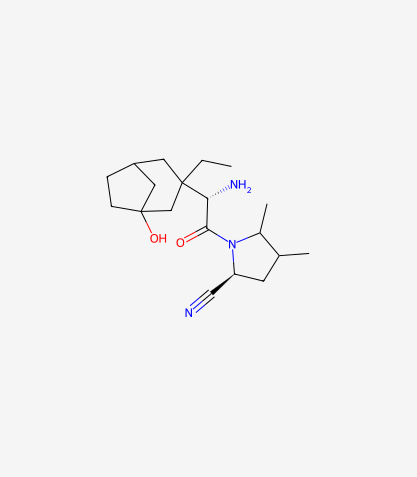 CCC1([C@H](N)C(=O)N2C(C)C(C)C[C@H]2C#N)CC2CCC(O)(C2)C1